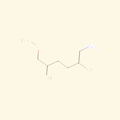 COCC(C)CCC(C)CN